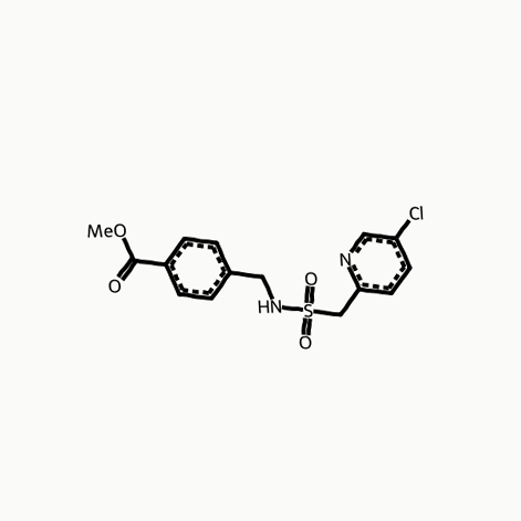 COC(=O)c1ccc(CNS(=O)(=O)Cc2ccc(Cl)cn2)cc1